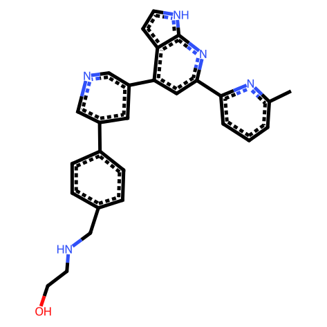 Cc1cccc(-c2cc(-c3cncc(-c4ccc(CNCCO)cc4)c3)c3cc[nH]c3n2)n1